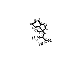 N[C@@H](CC1(C=O)C=Nc2ccccc21)C(=O)O